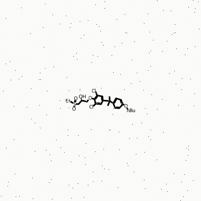 CCCCOc1ccc(C(C)(C)c2cc(Cl)c(OC[C@H](O)CS(=O)(=O)CC)c(Cl)c2)cc1